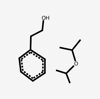 CC(C)OC(C)C.OCCc1ccccc1